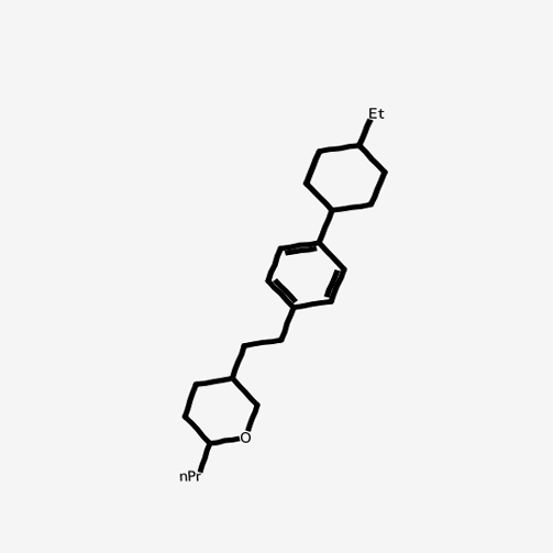 CCCC1CCC(CCc2ccc(C3CCC(CC)CC3)cc2)CO1